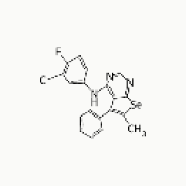 Cc1[se]c2ncnc(Nc3ccc(F)c(Cl)c3)c2c1-c1ccccc1